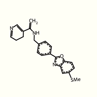 C=C(NCc1ccc(-c2nc3cc(SC)ccc3o2)cc1)C1=CN=CCC1